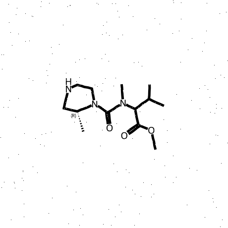 COC(=O)C(C(C)C)N(C)C(=O)N1CCNC[C@H]1C